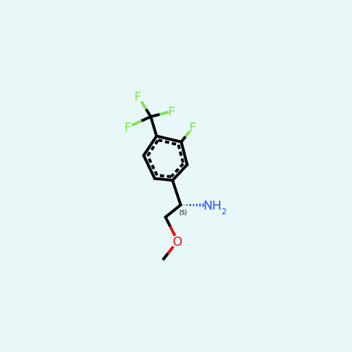 COC[C@@H](N)c1ccc(C(F)(F)F)c(F)c1